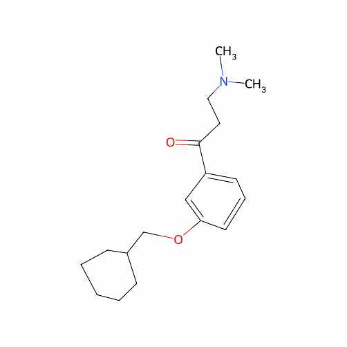 CN(C)CCC(=O)c1cccc(OCC2CCCCC2)c1